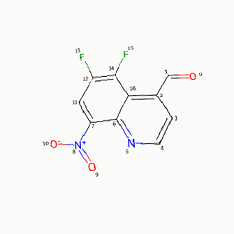 O=Cc1ccnc2c([N+](=O)[O-])cc(F)c(F)c12